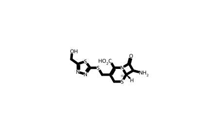 NC1C(=O)N2C(C(=O)O)=C(CSc3nnc(CO)s3)CS[C@@H]12